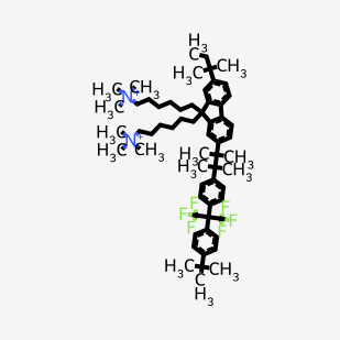 CCC(C)(C)c1ccc2c(c1)C(CCCCCC[N+](C)(C)C)(CCCCCC[N+](C)(C)C)c1cc(C(C)(C)C(C)(C)c3ccc(C(c4ccc(C(C)(C)C)cc4)(C(F)(F)F)C(F)(F)F)cc3)ccc1-2